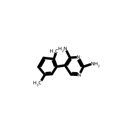 Cc1ccc(C)c(-c2cnc(N)nc2N)c1